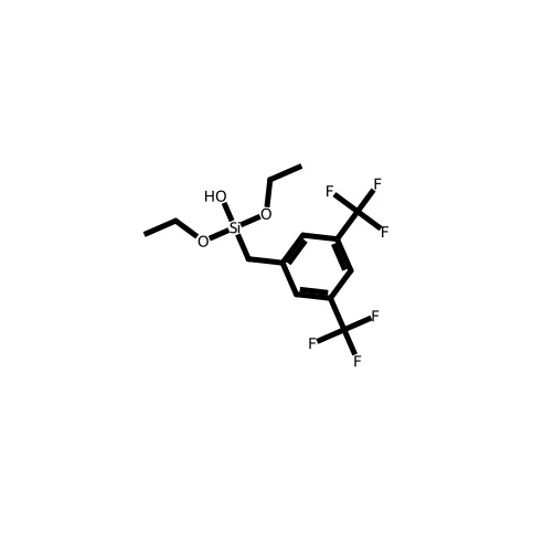 CCO[Si](O)(Cc1cc(C(F)(F)F)cc(C(F)(F)F)c1)OCC